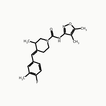 Cc1cc(C=C2CCN(C(=O)Nc3noc(C)c3C)CC2C)ccc1F